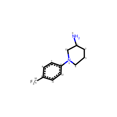 NC1CCCN(c2ccc(C(F)(F)F)cc2)C1